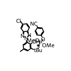 COP(=S)(OC)Oc1ccc(C#N)cc1.Cc1cc(-n2nc3ccc(Cl)cc3n2)c(O)c(C(C)(C)C)c1